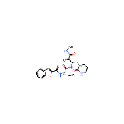 CC(C)C[C@H](NC(=O)c1cc2ccccc2o1)C(=O)NC(C[C@@H]1CCCNC1=O)C(=O)C(=O)NC(C)(C)C